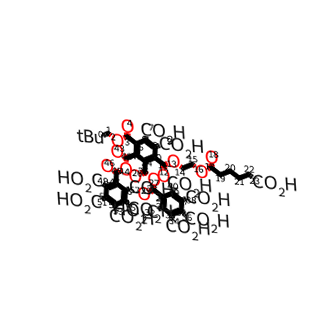 CC(C)(C)COC(=O)c1c(C(=O)O)c(C(=O)O)c(C(=O)OCCOC(=O)CCCCC(=O)O)c(C(=O)OC(=O)c2c(C(=O)O)c(C(=O)O)c(C(=O)O)c(C(=O)O)c2C(=O)O)c1C(=O)OC(=O)c1c(C(=O)O)c(C(=O)O)c(C(=O)O)c(C(=O)O)c1C(=O)O